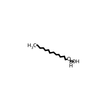 CCCCCCCCCCCCCOBO